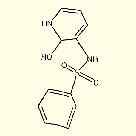 O=S(=O)(NC1=CC=CNC1O)c1ccccc1